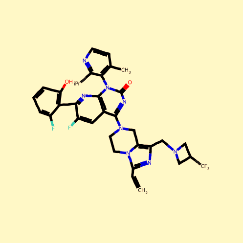 C=Cc1nc(CN2CC(C(F)(F)F)C2)c2n1CCN(c1nc(=O)n(-c3c(C)ccnc3C(C)C)c3nc(-c4c(O)cccc4F)c(F)cc13)C2